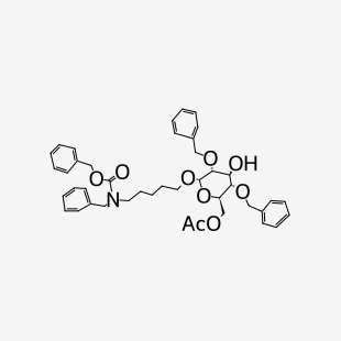 CC(=O)OC[C@H]1O[C@H](OCCCCCN(Cc2ccccc2)C(=O)OCc2ccccc2)[C@H](OCc2ccccc2)[C@@H](O)[C@@H]1OCc1ccccc1